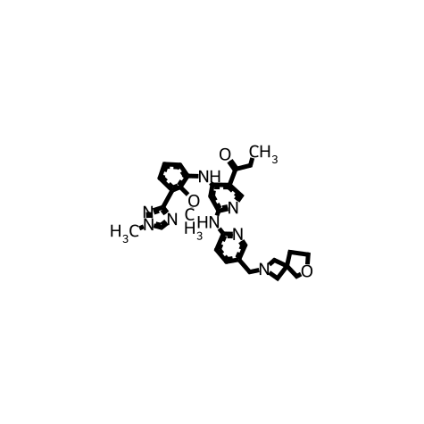 CCC(=O)c1cnc(Nc2ccc(CN3CC4(CCOC4)C3)cn2)cc1Nc1cccc(-c2ncn(C)n2)c1OC